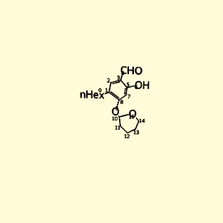 CCCCCCc1cc(C=O)c(O)cc1OC1CCCCO1